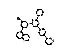 Brc1cc(-c2cc(-c3ccc(-c4cccnc4)cc3)nc(-c3ccccc3)n2)cc(-c2cccc3ncccc23)c1